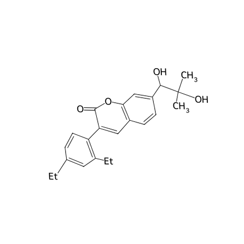 CCc1ccc(-c2cc3ccc(C(O)C(C)(C)O)cc3oc2=O)c(CC)c1